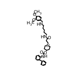 COc1ccc(CNCCCCCNC(=O)CCN2CCC(OC(=O)Nc3ccccc3-c3ccccc3)CC2)cc1OC